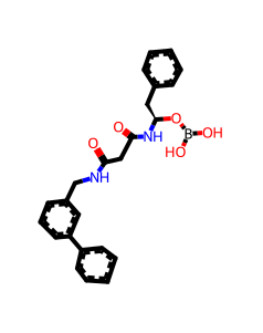 O=C(CC(=O)N[C@@H](Cc1ccccc1)OB(O)O)NCc1cccc(-c2ccccc2)c1